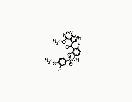 COc1ccc(S(=O)(=O)Nc2ccc(F)c(C(=O)c3c[nH]c4ncnc(OC)c34)c2F)cc1F